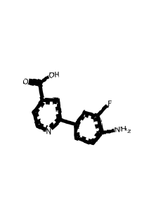 Nc1ccc(-c2cc(C(=O)O)ccn2)cc1F